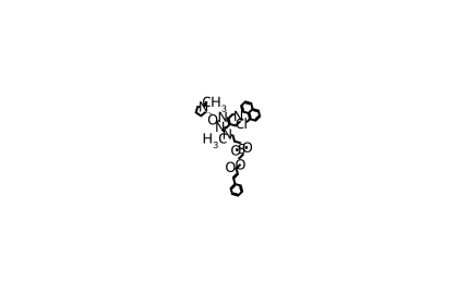 CN(CCCS(=O)(=O)CCOC(=O)C=Cc1ccccc1)c1nc(OC[C@@H]2CCCN2C)nc2c1CCN(c1cccc3cccc(Cl)c13)C2